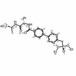 CCOP(=O)(Cc1nnc(-c2ccc(C(=O)N[C@H](C(=O)N[C@@H](C)C(=O)O)C(C)C)cc2)nn1)OCC